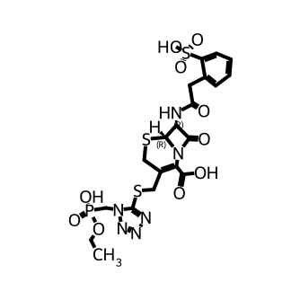 CCOP(=O)(O)Cn1nnnc1SCC1=C(C(=O)O)N2C(=O)[C@@H](NC(=O)Cc3ccccc3S(=O)(=O)O)[C@H]2SC1